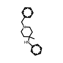 CC1(Nc2ccccc2)CCN(Cc2ccccc2)CC1